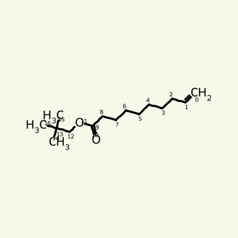 C=CCCCCCCCC(=O)OCC(C)(C)C